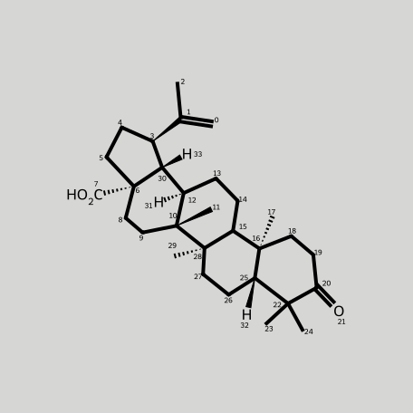 C=C(C)[C@@H]1CC[C@]2(C(=O)O)CC[C@]3(C)[C@H](CCC4[C@@]5(C)CCC(=O)C(C)(C)[C@@H]5CC[C@]43C)[C@@H]12